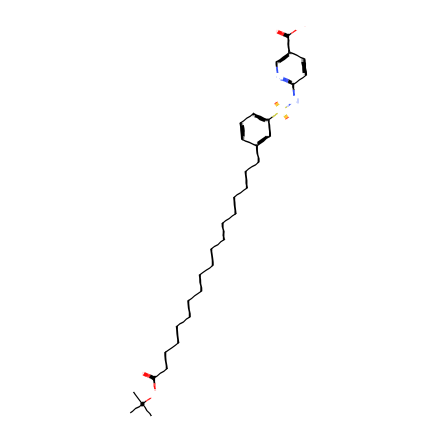 CC(C)(C)OC(=O)CCCCCCCCCCCCCCCCCc1cccc(S(=O)(=O)Nc2ccc(C(=O)O)cn2)c1